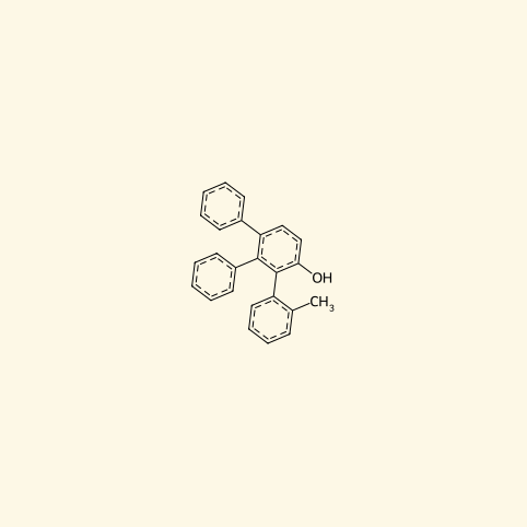 Cc1ccccc1-c1c(O)ccc(-c2ccccc2)c1-c1ccccc1